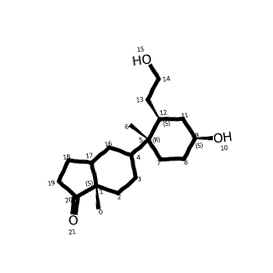 C[C@]12CCC([C@@]3(C)CC[C@H](O)C[C@@H]3CCO)CC1CCC2=O